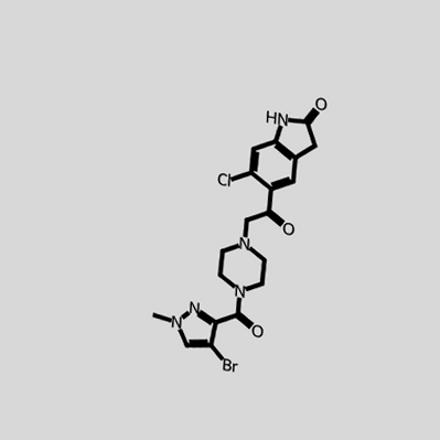 Cn1cc(Br)c(C(=O)N2CCN(CC(=O)c3cc4c(cc3Cl)NC(=O)C4)CC2)n1